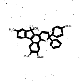 COc1ccc(C2(c3ccccc3)C=Cc3c4c(c5cc(OC)c(OC)cc5c3O2)-c2ccc(C)cc2C4(C)C)cc1